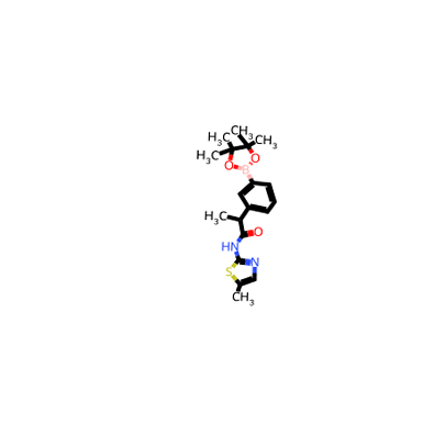 Cc1cnc(NC(=O)C(C)c2cccc(B3OC(C)(C)C(C)(C)O3)c2)s1